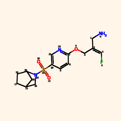 NC/C(=C/F)COc1ccc(S(=O)(=O)N2CC3CCC2C3)cn1